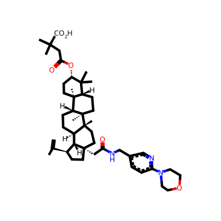 C=C(C)[C@@H]1CC[C@]2(CC(=O)NCc3ccc(N4CCOCC4)nc3)CC[C@]3(C)[C@H](CC[C@@H]4[C@@]5(C)CC[C@H](OC(=O)CC(C)(C)C(=O)O)C(C)(C)[C@@H]5CC[C@]43C)[C@@H]12